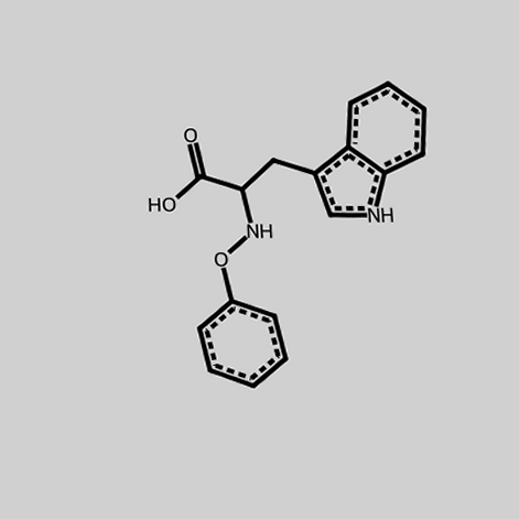 O=C(O)C(Cc1c[nH]c2ccccc12)NOc1ccccc1